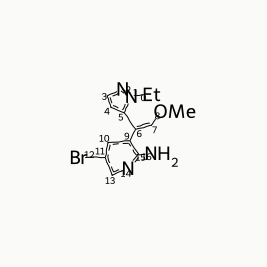 CCn1nccc1C(=COC)c1cc(Br)cnc1N